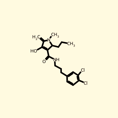 C=C1C(O)=C(C(=O)NCCCc2ccc(Cl)c(Cl)c2)C(CCC)N1C